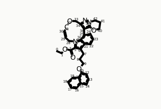 CCOC(=O)c1c(CCCOc2cccc3ccccc23)c2cccc3c2n1C/C=C\COCc1nn2c(c1-3)OCCC2